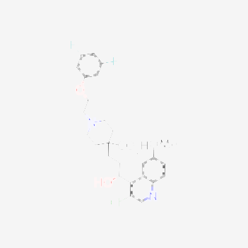 COc1ccc2ncc(Cl)c([C@@H](O)CCC3(C(=O)O)CCN(CCOc4cc(F)cc(F)c4)CC3)c2c1